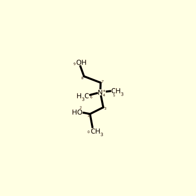 CC(O)C[N+](C)(C)CCO